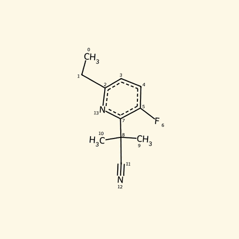 CCc1ccc(F)c(C(C)(C)C#N)n1